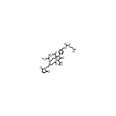 CNCCN(C)C(=O)OCc1ccc(N(C(=O)[C@@H](NC(=O)CCCCCN2C(=O)C=CC2=O)C(C)C)[C@@H](CCCNC(N)=O)C(N)=O)cc1.Cl